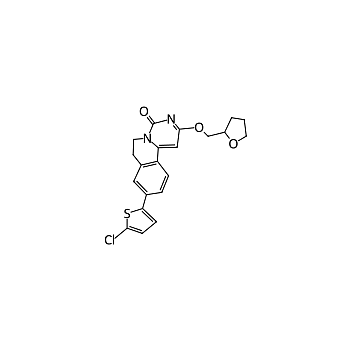 O=c1nc(OCC2CCCO2)cc2n1CCc1cc(-c3ccc(Cl)s3)ccc1-2